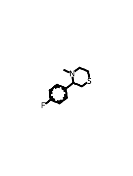 CN1CCSCC1c1ccc(F)cc1